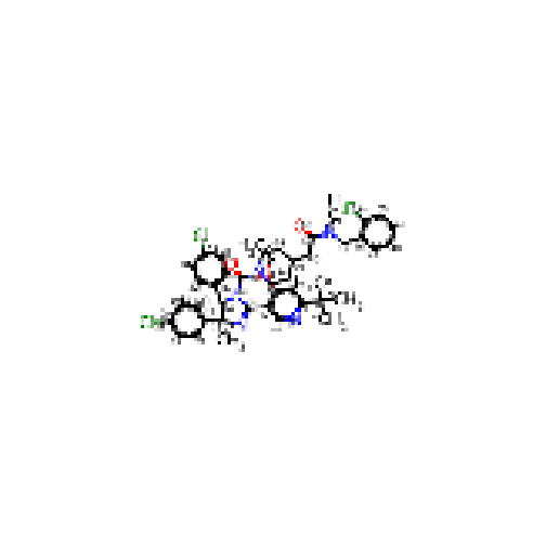 CCOc1cc(C(C)(C)C)ncc1C1=N[C@@](C)(c2ccc(Cl)cc2)[C@@](C)(c2ccc(Cl)cc2)N1C(=O)N1CCC(CC(=O)N(C)Cc2ccccc2F)CC1